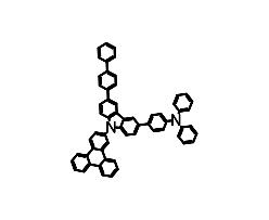 c1ccc(-c2ccc(-c3ccc4c(c3)c3cc(-c5ccc(N(c6ccccc6)c6ccccc6)cc5)ccc3n4-c3ccc4c5ccccc5c5ccccc5c4c3)cc2)cc1